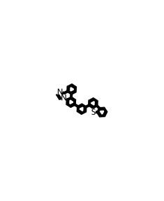 c1cc(-c2ccc3c(c2)c2ccccc2c2nccn32)cc(-c2cccc3c2sc2ccccc23)c1